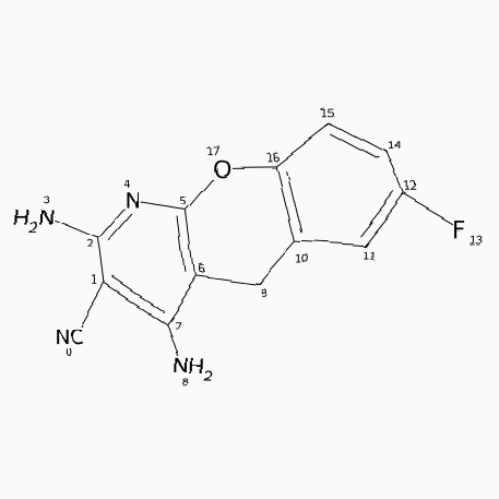 N#Cc1c(N)nc2c(c1N)Cc1cc(F)ccc1O2